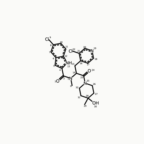 CN(C(=O)c1cc2cc(Cl)ccc2[nH]1)C(Cc1ccncc1Cl)C(=O)N1CCC(C)(O)CC1